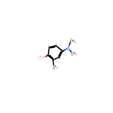 Bc1ccc(N(C)C)cc1C(F)(F)F